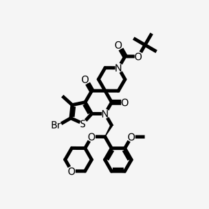 COc1ccccc1[C@H](CN1C(=O)C2(CCN(C(=O)OC(C)(C)C)CC2)C(=O)c2c1sc(Br)c2C)OC1CCOCC1